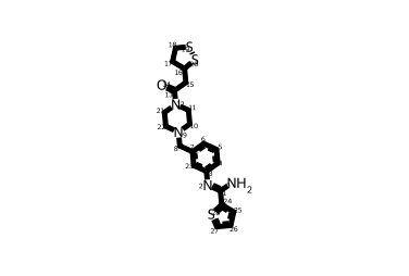 N/C(=N\c1cccc(CN2CCN(C(=O)CC3CCSS3)CC2)c1)c1cccs1